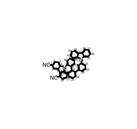 N#Cc1ccc2c(c1)c1c(C#N)cccc1n2-c1ccccc1-c1c(C#N)cccc1-c1cccc(-n2c3ccccc3c3ccccc32)c1